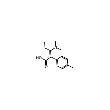 CCC(=C(C(=O)O)c1ccc(C)cc1)N(C)C